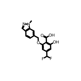 Cn1ncc2ccc(COc3cc(C(F)F)cc(O)c3C(=O)O)cc21